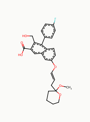 COC1(CC=COc2ccc3c(-c4ccc(F)cc4)c(CO)c(C(=O)O)cc3c2)CCCCO1